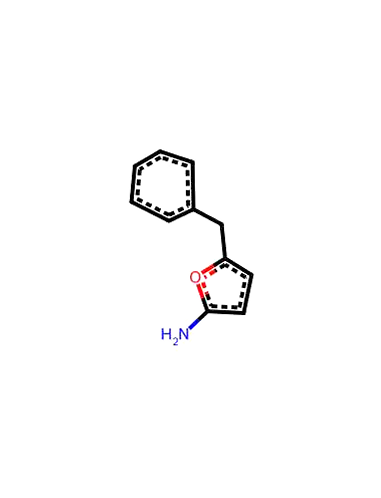 Nc1ccc(Cc2ccccc2)o1